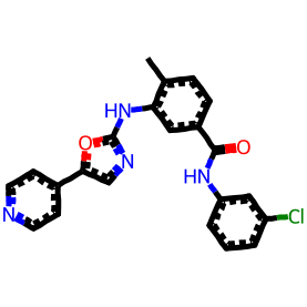 Cc1ccc(C(=O)Nc2cccc(Cl)c2)cc1Nc1ncc(-c2ccncc2)o1